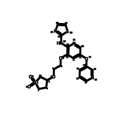 O=S1(=O)CCC(OCCOc2cc(Oc3cccnc3)cnc2Nc2nccs2)C1